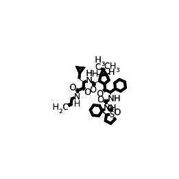 C=CCNC(=O)C(=O)[C@H](CC1CC1)NC(=O)[C@H]1C(C(=O)[C@@H](NC(=O)NC2([C@@H]3CCCS3(=O)=O)CCCCC2)C2CCCCC2)C[C@H]2[C@@H]1C2(C)C